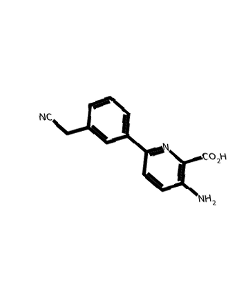 N#CCc1cccc(-c2ccc(N)c(C(=O)O)n2)c1